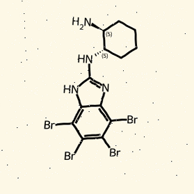 N[C@H]1CCCC[C@@H]1Nc1nc2c(Br)c(Br)c(Br)c(Br)c2[nH]1